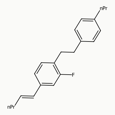 CCC/C=C/c1ccc(CCc2ccc(CCC)cc2)c(F)c1